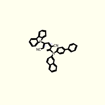 C=C(/C(C#N)=C\C(=C\C#N)n1c2ccccc2c2ccccc21)N(c1ccc(-c2ccccc2)cc1)c1ccc2ccccc2c1